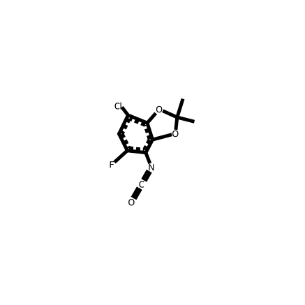 CC1(C)Oc2c(Cl)cc(F)c(N=C=O)c2O1